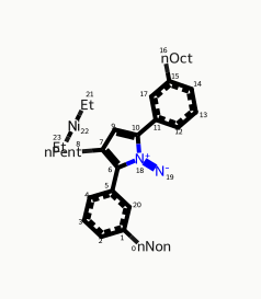 CCCCCCCCCc1cccc(C2=C(CCCCC)C=C(c3cccc(CCCCCCCC)c3)[N+]2=[N-])c1.C[CH2][Ni][CH2]C